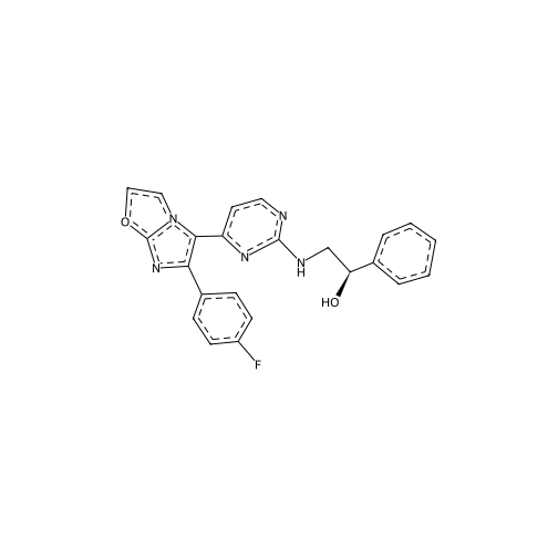 O[C@@H](CNc1nccc(-c2c(-c3ccc(F)cc3)nc3occn23)n1)c1ccccc1